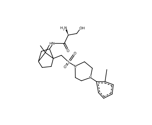 Cc1ccccc1N1CCN(S(=O)(=O)CC23CCC(CC2NC(=O)[C@@H](N)CO)C3(C)C)CC1